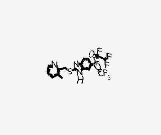 Cc1cccnc1CSc1nc2cc(OC(F)(F)C(F)F)c(OC(F)(F)F)cc2[nH]1